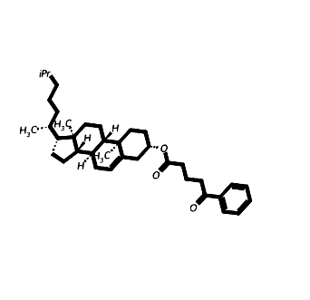 CC(C)CCC[C@@H](C)[C@H]1CC[C@H]2[C@@H]3CC=C4C[C@@H](OC(=O)CCCC(=O)c5ccccc5)CC[C@]4(C)[C@H]3CC[C@]12C